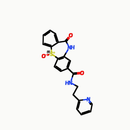 O=C(NCCc1ccccn1)c1ccc2c(c1)NC(=O)c1ccccc1[S@+]2[O-]